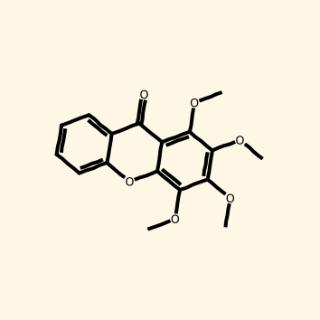 COc1c(OC)c(OC)c2c(=O)c3ccccc3oc2c1OC